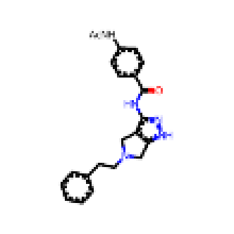 CC(=O)Nc1ccc(C(=O)Nc2n[nH]c3c2CN(CCc2ccccc2)C3)cc1